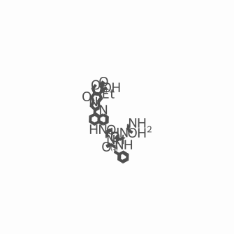 CC[C@@]1(O)C(=O)OCc2c1cc1n(c2=O)Cc2c-1nc1ccc(NC(=O)CNC(=O)[C@H](Cc3ccccc3)NC(=O)CNC(O)CN)c3c1c2CCC3